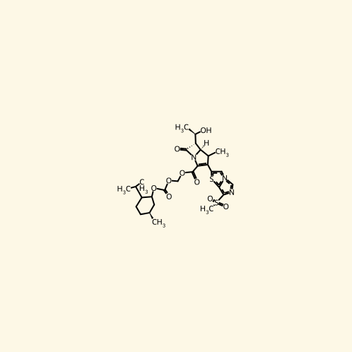 CC(C)C1CC[C@H](C)CC1OC(=O)OCOC(=O)C1=C(c2cn3cnc(S(C)(=O)=O)c3s2)C(C)[C@@H]2[C@@H]([C@@H](C)O)C(=O)N12